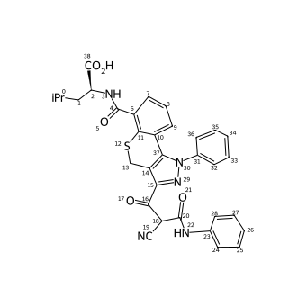 CC(C)C[C@H](NC(=O)c1cccc2c1SCc1c(C(=O)C(C#N)C(=O)Nc3ccccc3)nn(-c3ccccc3)c1-2)C(=O)O